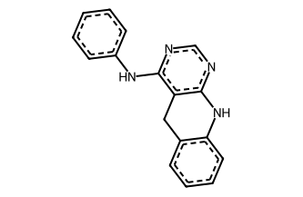 c1ccc(Nc2ncnc3c2Cc2ccccc2N3)cc1